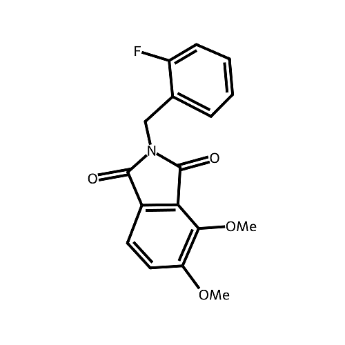 COc1ccc2c(c1OC)C(=O)N(Cc1ccccc1F)C2=O